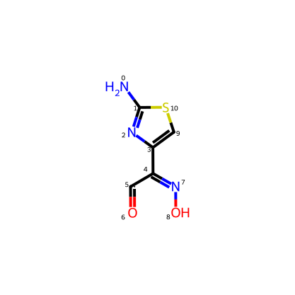 Nc1nc(C([C]=O)=NO)cs1